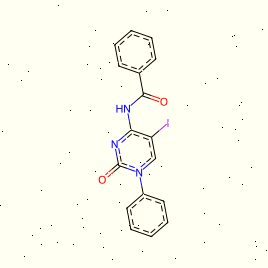 O=C(Nc1nc(=O)n(-c2ccccc2)cc1I)c1ccccc1